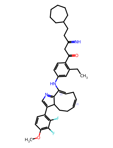 CCc1cc(N/C2=C\C/C=C\CCC3C(c4ccc(OC)c(F)c4F)=CN=C23)ccc1C(=O)CC(=N)CCC1CCCCCC1